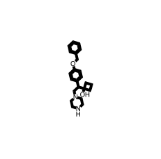 OC1(C(CN2CCNCC2)c2ccc(OCc3ccccc3)cc2)CCC1